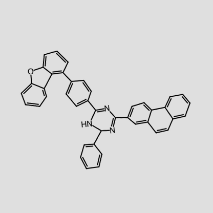 c1ccc(C2N=C(c3ccc4c(ccc5ccccc54)c3)N=C(c3ccc(-c4cccc5oc6ccccc6c45)cc3)N2)cc1